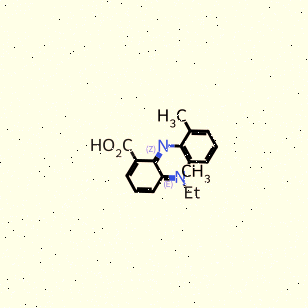 CC/N=C1\C=CC=C(C(=O)O)\C1=N\c1c(C)cccc1C